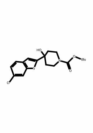 CC(C)(C)OC(=O)N1CCC(O)(c2cc3ccc(Cl)cc3s2)CC1